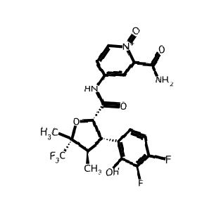 C[C@@H]1[C@@H](c2ccc(F)c(F)c2O)[C@@H](C(=O)NC2=CC(C(N)=O)[N+](=O)C=C2)O[C@@]1(C)C(F)(F)F